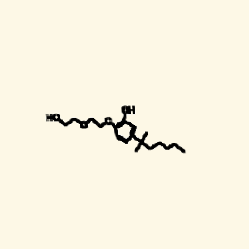 CCCCCC(C)(C)c1ccc(OCCOCCO)c(O)c1